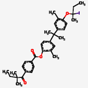 CCC(C)(I)Oc1ccc(C(C)(C)c2ccc(OC(=O)c3ccc(C(=O)C(C)(C)CC)cc3)c(C)c2)cc1C